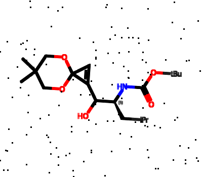 CC(C)C[C@H](NC(=O)OC(C)(C)C)C(O)C1=CC12OCC(C)(C)CO2